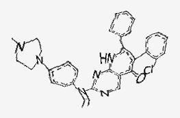 CN1CCN(c2ccc(Nc3ncc4c(=O)c(-c5ccccc5Cl)c(-c5ccccc5)[nH]c4n3)cc2)CC1